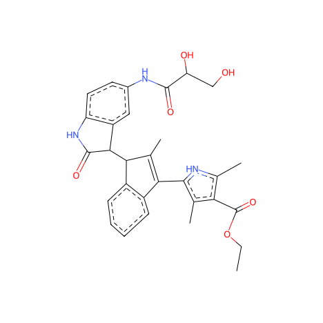 CCOC(=O)c1c(C)[nH]c(C2=C(C)C(C3C(=O)Nc4ccc(NC(=O)C(O)CO)cc43)c3ccccc32)c1C